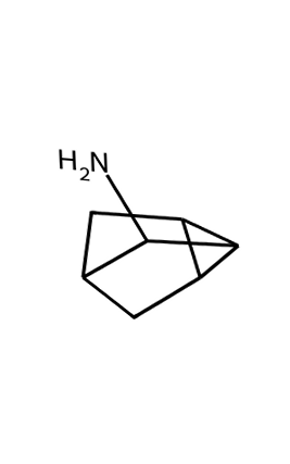 NC1C2CC3C(C2)C13